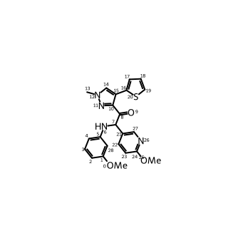 COc1cccc(NC(C(=O)c2nn(C)cc2-c2cccs2)c2ccc(OC)nc2)c1